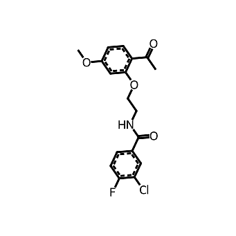 COc1ccc(C(C)=O)c(OCCNC(=O)c2ccc(F)c(Cl)c2)c1